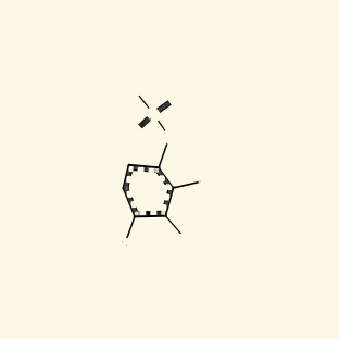 Cc1c(N)ccc(OS(C)(=O)=O)c1C